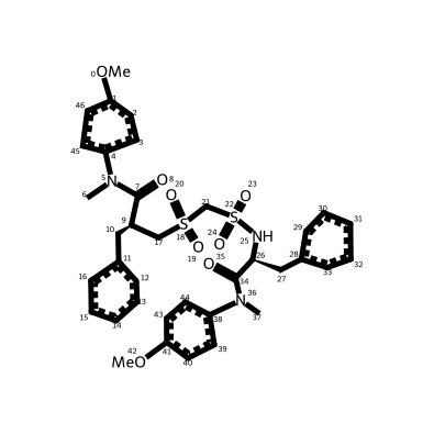 COc1ccc(N(C)C(=O)[C@H](Cc2ccccc2)CS(=O)(=O)CS(=O)(=O)N[C@@H](Cc2ccccc2)C(=O)N(C)c2ccc(OC)cc2)cc1